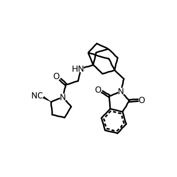 N#C[C@@H]1CCCN1C(=O)CNC12CC3CC1CC(CN1C(=O)c4ccccc4C1=O)(C3)C2